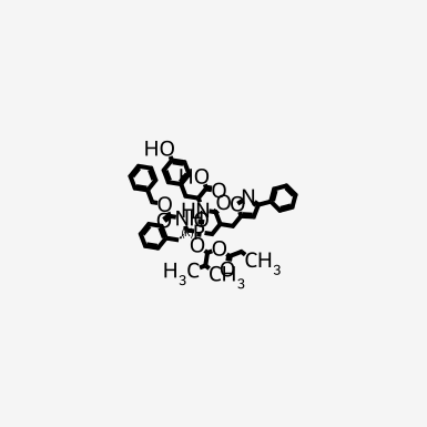 CCC(=O)OC(OP(=O)(CC(Cc1cc(-c2ccccc2)no1)C(=O)NC(Cc1ccc(O)cc1)C(=O)O)[C@H](Cc1ccccc1)NC(=O)OCc1ccccc1)C(C)C